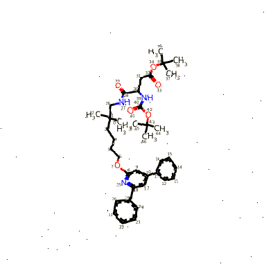 CC(C)(CCCCOc1cc(-c2ccccc2)cc(-c2ccccc2)n1)CNC(=O)C(CC(=O)OC(C)(C)C)NC(=O)OC(C)(C)C